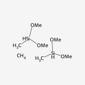 C.CO[SiH](C)OC.CO[SiH](C)OC